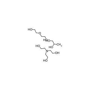 CC(O)CO.OCCN(CCO)CCO.OCCOCCO